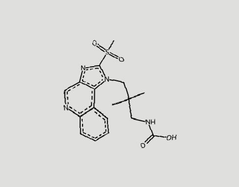 CC(C)(CNC(=O)O)Cn1c(S(C)(=O)=O)nc2cnc3ccccc3c21